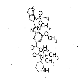 COc1cc(C(=O)OC(=O)N([C@@H]2CCCNC2)C(C)(C)C)cc2nc(-c3cc4ccsc4n3S(=O)(=O)C3CC3)n(C)c12